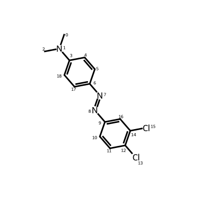 CN(C)c1ccc(N=Nc2ccc(Cl)c(Cl)c2)cc1